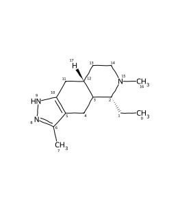 CC[C@@H]1C2Cc3c(C)n[nH]c3C[C@@H]2CCN1C